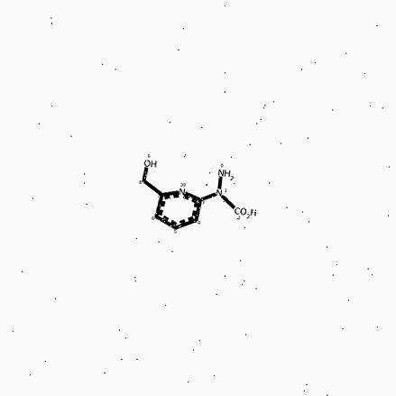 NN(C(=O)O)c1cccc(CO)n1